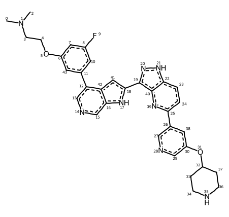 CN(C)CCOc1cc(F)cc(-c2cncc3[nH]c(-c4n[nH]c5ccc(-c6cncc(OC7CCNCC7)c6)nc45)cc23)c1